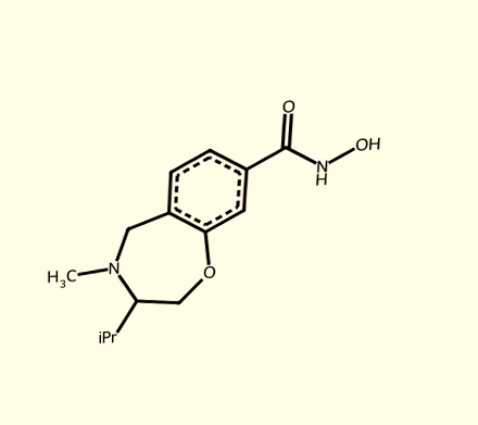 CC(C)C1COc2cc(C(=O)NO)ccc2CN1C